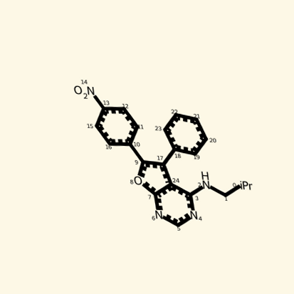 CC(C)CNc1ncnc2oc(-c3ccc([N+](=O)[O-])cc3)c(-c3ccccc3)c12